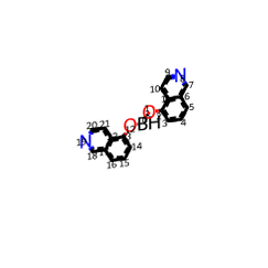 B(Oc1cccc2cnccc12)Oc1cccc2cnccc12